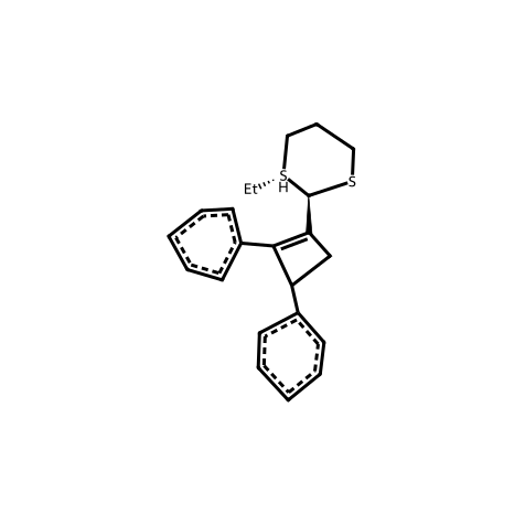 CC[S@@H]1CCCS[C@H]1C1=C(c2ccccc2)C(c2ccccc2)C1